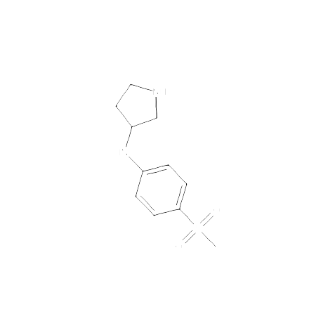 CS(=O)(=O)c1ccc(NC2CCNC2)cc1